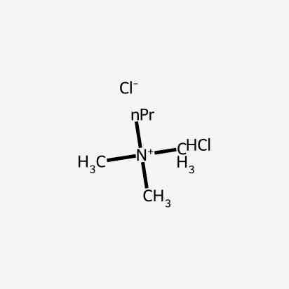 CCC[N+](C)(C)C.Cl.[Cl-]